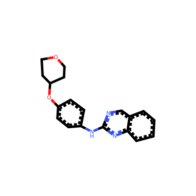 c1ccc2nc(Nc3ccc(OC4CCOCC4)cc3)ncc2c1